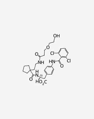 O=C(CCOCCO)NCCC1(C(=O)N[C@@H](Cc2ccc(NC(=O)c3c(Cl)cccc3Cl)cc2)C(=O)O)CCCC1